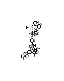 CC(C)c1ccccc1NC(=S)NNCc1ccc(-c2nc(NS(=O)(=O)C(F)F)n(-c3ccc(OC(F)(F)F)cc3)n2)cc1